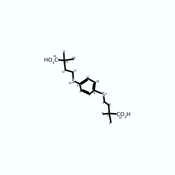 CC(C)(CCSc1ccc(SCCC(C)(C)C(=O)O)cc1)C(=O)O